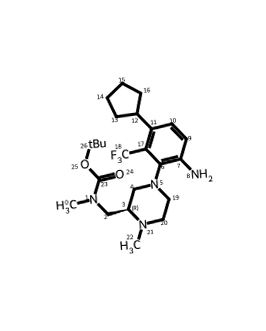 CN(C[C@H]1CN(c2c(N)ccc(C3CCCC3)c2C(F)(F)F)CCN1C)C(=O)OC(C)(C)C